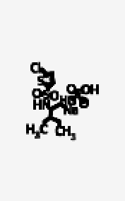 CCC(CC)C([CH2][Na])NS(=O)(=O)c1ccc(Cl)s1.O=S(=O)(O)O